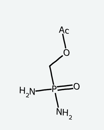 CC(=O)OCP(N)(N)=O